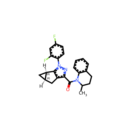 CC1CCc2ccccc2N1C(=O)c1nn(-c2ccc(F)cc2F)c2c1C[C@H]1C[C@@H]21